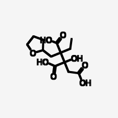 CCC(CC1CCCO1)(C(=O)O)C(O)(CC(=O)O)C(=O)O